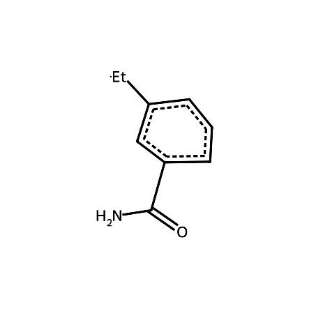 C[CH]c1cccc(C(N)=O)c1